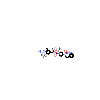 Cc1cc(C[C@@H](OC(=O)N2CCC(N3CCc4ccccc4NC3=O)CC2)C(=O)O)cc(C(F)(F)F)c1N